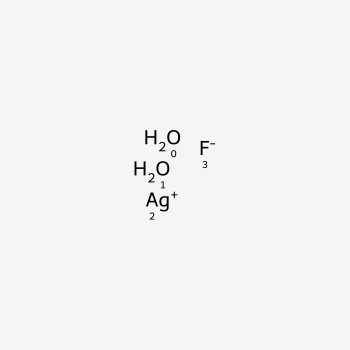 O.O.[Ag+].[F-]